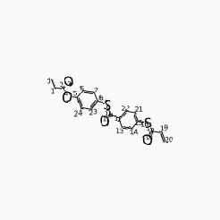 C=CC(=O)Oc1ccc(SC(=O)c2ccc(SC(=O)C=C)cc2)cc1